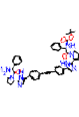 CC(C)(C)OC(=O)N[C@@H](C(=O)N1CCC[C@H]1c1ncc(-c2ccc(C#Cc3ccc(-c4cnc([C@@H]5CCCN5C(=O)[C@H](N)c5ccccc5)[nH]4)cc3)cc2)[nH]1)c1ccccc1